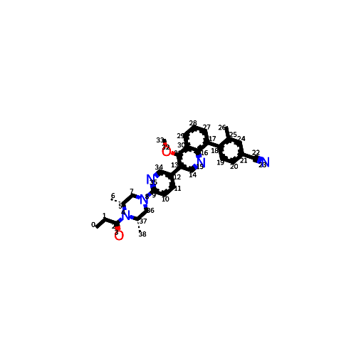 CCC(=O)N1[C@H](C)CN(c2ccc(-c3cnc4c(-c5ccc(C#N)cc5C)cccc4c3OC)cn2)C[C@@H]1C